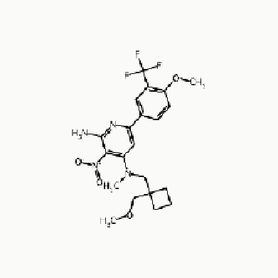 COCC1(CN(C)c2cc(-c3ccc(OC)c(C(F)(F)F)c3)nc(N)c2[N+](=O)[O-])CCC1